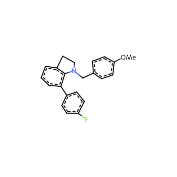 COc1ccc(CN2CCc3cccc(-c4ccc(F)cc4)c32)cc1